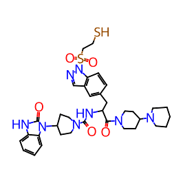 O=C(NC(Cc1ccc2c(cnn2S(=O)(=O)CCS)c1)C(=O)N1CCC(N2CCCCC2)CC1)N1CCC(n2c(=O)[nH]c3ccccc32)CC1